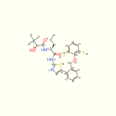 CCC[C@H](NC(=O)[C@@H](O)C(C)(C)C)C(=O)Nc1ncc(-c2ccccc2COc2c(F)cccc2F)s1